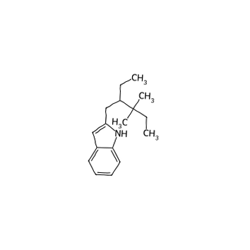 CCC(Cc1cc2ccccc2[nH]1)C(C)(C)CC